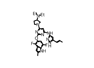 C/C=C/c1cc(Nc2cc(N3CCC(N(CC)CC)C3)nc(Oc3cc(F)c4[nH]c(C)cc4c3F)n2)n[nH]1